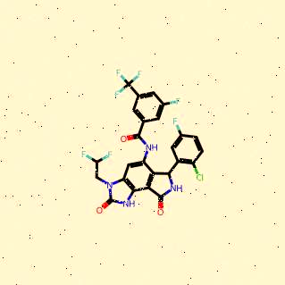 O=C(Nc1cc2c([nH]c(=O)n2CC(F)F)c2c1C(c1cc(F)ccc1Cl)NC2=O)c1cc(F)cc(C(F)(F)F)c1